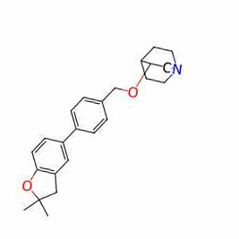 CC1(C)Cc2cc(-c3ccc(COC4CN5CCC4CC5)cc3)ccc2O1